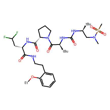 CCOc1ccccc1CCNC(=O)[C@H](CC(F)F)NC(=O)[C@@H]1CCCN1C(=O)[C@@H](NC(=O)N[C@H](CN(C)S(C)(=O)=O)C(C)(C)C)C(C)(C)C